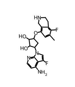 Cc1cc(OC2CC(n3cc(F)c4c(N)ccnc43)C(O)C2O)c2c(c1F)CCNC2